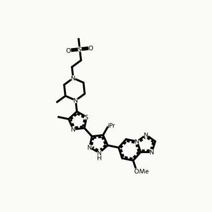 COc1cc(-c2[nH]nc(-c3nc(C)c(N4CCN(CCS(C)(=O)=O)CC4C)s3)c2C(C)C)cn2ncnc12